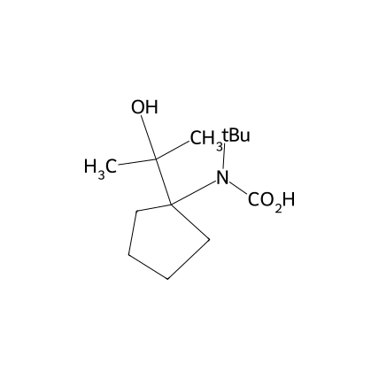 CC(C)(C)N(C(=O)O)C1(C(C)(C)O)CCCC1